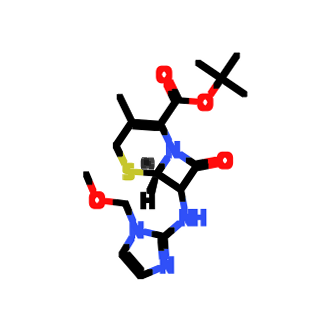 COCn1ccnc1NC1C(=O)N2C(C(=O)OC(C)(C)C)=C(C)CS[C@@H]12